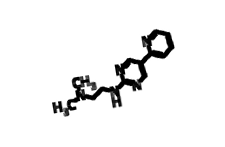 CN(C)CCNc1ncc(-c2ccccn2)cn1